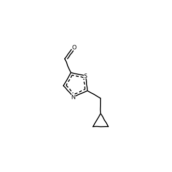 O=Cc1cnc(CC2CC2)s1